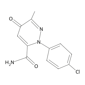 Cc1nn(-c2ccc(Cl)cc2)c(C(N)=O)cc1=O